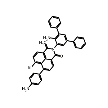 C=c1c2ccc(Br)c3c(-c4ccc(N)cc4)ccc(c(=O)n1-c1cc(-c4ccccc4)cc(-c4ccccc4)c1N)c32